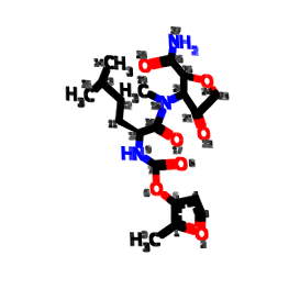 Cc1occc1OC(=O)N[C@@H](CCC(C)C)C(=O)N(C)C1C(=O)COC1C(N)=O